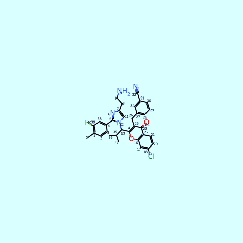 Cc1ccc(-c2nc(CCN)cn2C(c2oc3cc(Cl)ccc3c(=O)c2Cc2cccc(C#N)c2)C(C)C)cc1F